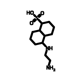 NCCNC1CCCC2C1CCCC2S(=O)(=O)O